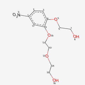 O=[N+]([O-])c1ccc(OCCO)c(OCCOCCO)c1